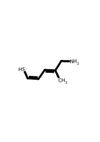 C/C(=C\C=C/S)CN